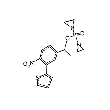 CC(OP(=O)(N1CC1)N1CC1)c1ccc([N+](=O)[O-])c(-c2cccs2)c1